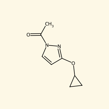 CC(=O)n1ccc(OC2CC2)n1